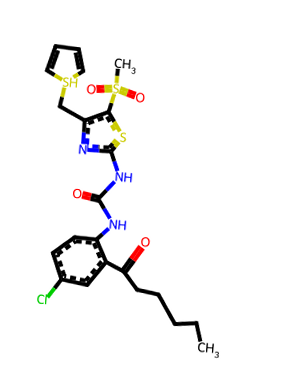 CCCCCC(=O)c1cc(Cl)ccc1NC(=O)Nc1nc(C[SH]2C=CC=C2)c(S(C)(=O)=O)s1